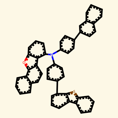 c1ccc2cc(-c3ccc(N(c4ccc(-c5cccc6c5sc5ccccc56)cc4)c4cccc5oc6c7ccccc7ccc6c45)cc3)ccc2c1